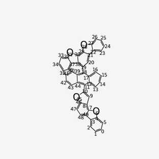 c1ccc2c(c1)oc1c3cc(-c4c5ccccc5c(-c5cc6c7ccccc7oc6c6oc7ccccc7c56)c5ccccc45)oc3ccc21